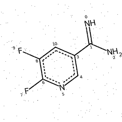 N=C(N)c1cnc(F)c(F)c1